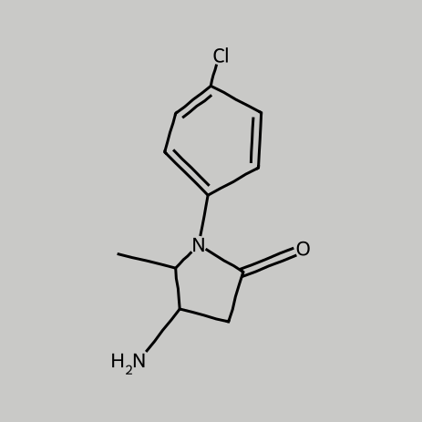 CC1C(N)CC(=O)N1c1ccc(Cl)cc1